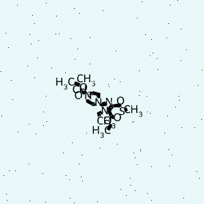 CCOC(=O)c1c(C(=O)SC)nc(N2CCN(C(=O)OC(C)(C)C)CC2)n1CC